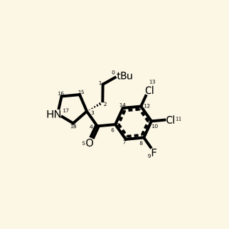 CC(C)(C)CC[C@@]1(C(=O)c2cc(F)c(Cl)c(Cl)c2)CCNC1